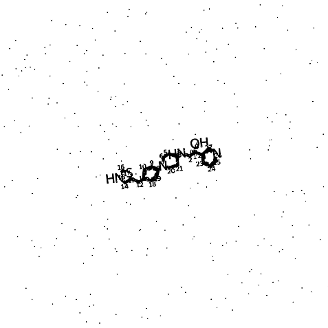 O[C@H](CNC1CCN(c2ccc(CC3CNCS3)cc2)CC1)c1cccnc1